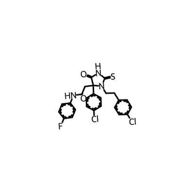 O=C(CC1(c2ccc(Cl)cc2)C(=O)NC(=S)N1CCc1ccc(Cl)cc1)Nc1ccc(F)cc1